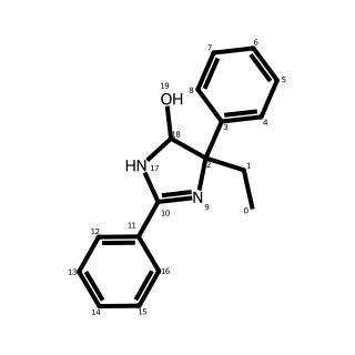 CCC1(c2ccccc2)N=C(c2ccccc2)NC1O